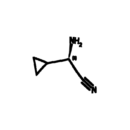 N#C[C@@H](N)C1CC1